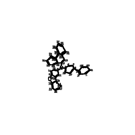 c1ccc(-c2ccc(N(c3ccc4oc5cccnc5c4c3)c3cc4ccccc4c4ccccc34)cc2)cc1